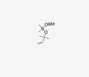 C=CC(C)(C)O[Si](C)(C)OC